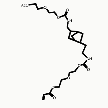 C=CC(=O)OCCOCCOC(=O)NCCC1CC2CC1CC2CNC(=O)OCCOCCOC(C)=O